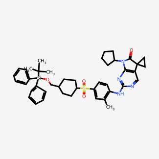 Cc1cc(S(=O)(=O)C2CCC(CO[Si](c3ccccc3)(c3ccccc3)C(C)(C)C)CC2)ccc1Nc1ncc2c(n1)N(C1CCCC1)C(=O)C21CC1